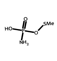 CSOP(N)(=O)O